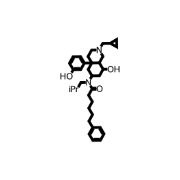 CC(C)CN(C(=O)CCCCCc1ccccc1)C1CC(O)C2CN(CC3CC3)CCC2(c2cccc(O)c2)C1